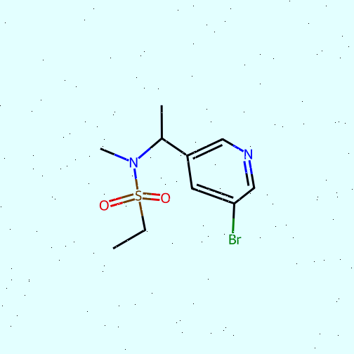 CCS(=O)(=O)N(C)C(C)c1cncc(Br)c1